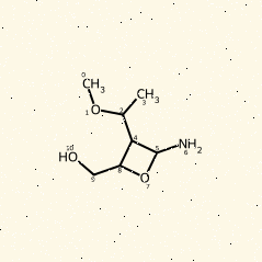 COC(C)C1C(N)OC1CO